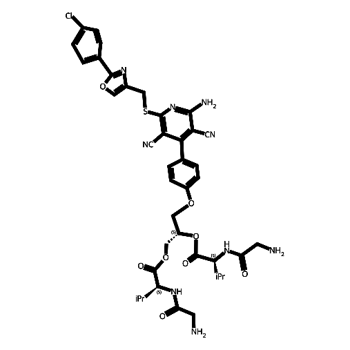 CC(C)[C@H](NC(=O)CN)C(=O)OC[C@H](COc1ccc(-c2c(C#N)c(N)nc(SCc3coc(-c4ccc(Cl)cc4)n3)c2C#N)cc1)OC(=O)[C@@H](NC(=O)CN)C(C)C